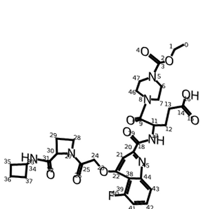 CCOC(=O)N1CCN(C(=O)C(CCC(=O)O)NC(=O)c2cc(OCC(=O)N3CCC3C(=O)NC3CCC3)c3c(F)cccc3n2)CC1